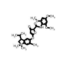 COc1cc(OC)c(NC(=O)C2OC(Oc3cc4c(cc3C)[Si](C)(C)CC4C(C)C)=CC2=O)c(OC)c1